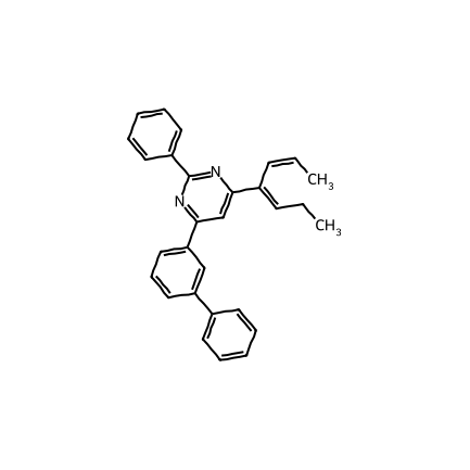 C/C=C\C(=C/CC)c1cc(-c2cccc(-c3ccccc3)c2)nc(-c2ccccc2)n1